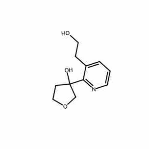 OCCc1cccnc1C1(O)CCOC1